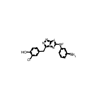 Nc1cccc(Nc2nn3c(Cc4ccc(O)c(Cl)c4)nnc3s2)c1